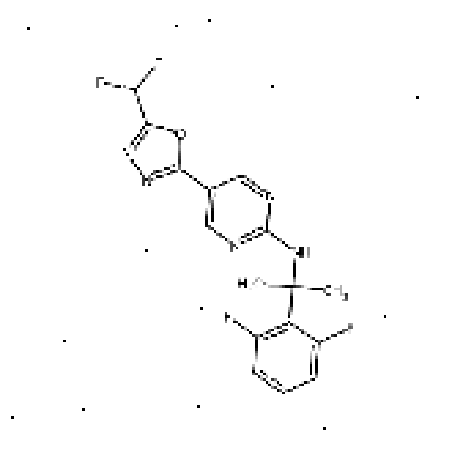 CC(C)(Nc1ncc(-c2nnc(C(F)F)o2)cn1)c1c(F)cccc1F